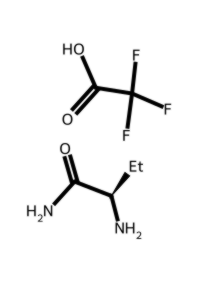 CC[C@@H](N)C(N)=O.O=C(O)C(F)(F)F